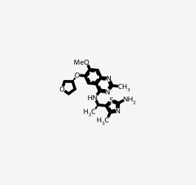 COc1cc2nc(C)nc(N[C@H](C)c3sc(N)nc3C)c2cc1O[C@H]1CCOC1